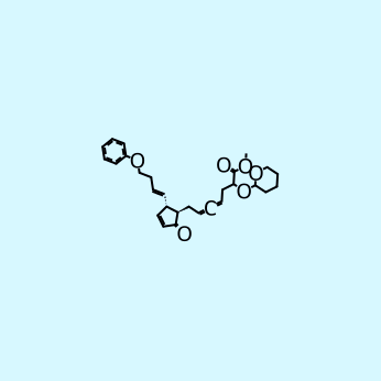 COC(=O)C(CC=C=CC[C@H]1C(=O)C=C[C@@H]1/C=C/CCOc1ccccc1)OC1CCCCO1